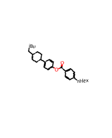 CCCCCCc1ccc(C(=O)Oc2ccc(C3CCC(CC(C)CC)CC3)cc2)cc1